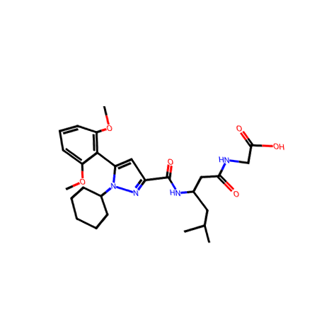 COc1cccc(OC)c1-c1cc(C(=O)NC(CC(=O)NCC(=O)O)CC(C)C)nn1C1CCCCC1